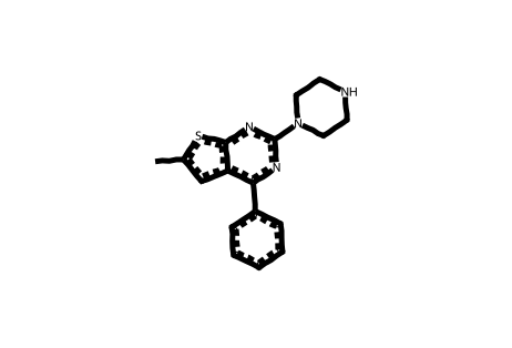 Cc1cc2c(-c3ccccc3)nc(N3CCNCC3)nc2s1